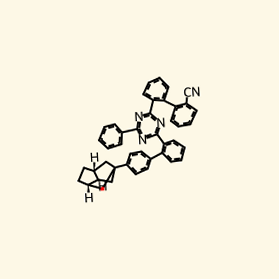 N#Cc1ccccc1-c1ccccc1-c1nc(-c2ccccc2)nc(-c2ccccc2-c2ccc(C34C[C@H]5CC[C@@H](C3)[C@@H]5C4)cc2)n1